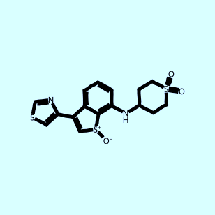 O=S1(=O)CCC(Nc2cccc3c(-c4cscn4)c[s+]([O-])c23)CC1